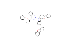 C1=CC2c3ccccc3OC2C(c2nc(-n3c4ccc(-c5cccc6c5oc5ccccc56)cc4c4c5oc6ccccc6c5ccc43)nc3ccccc23)=C1